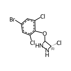 Clc1cc(Br)cc(Cl)c1OC1NN[C@H]1Cl